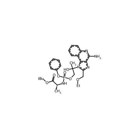 CCOCc1nc2c(N)nc3ccccc3c2n1C(C)(O)COP(=O)(N[C@@H](C)C(=O)OC(C)(C)C)Oc1ccccc1